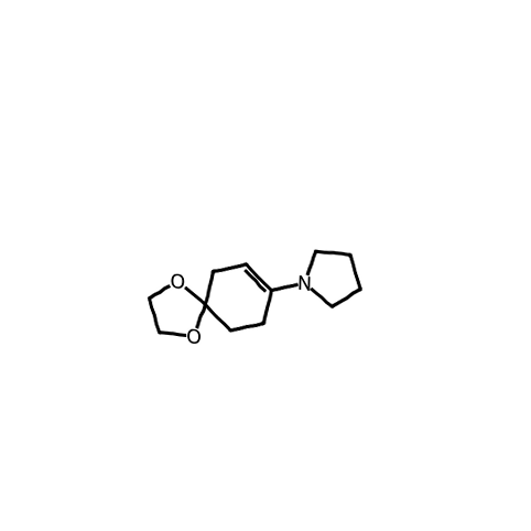 C1=C(N2CCCC2)CCC2(C1)OCCO2